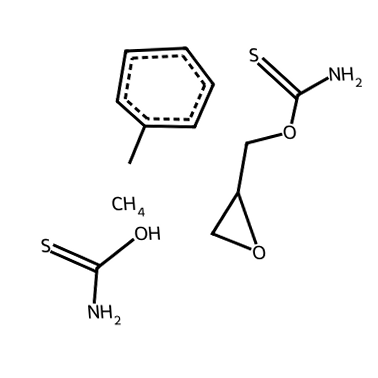 C.Cc1ccccc1.NC(=S)OCC1CO1.NC(O)=S